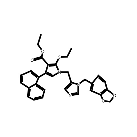 CCOC(=O)c1c(-c2cccc3ccccc23)cn(Cc2cncn2Cc2ccc3c(c2)OCO3)c1SCC